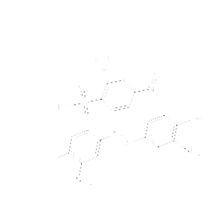 Cl.Cl.Nc1cc(/[As]=[As]/c2ccc(O)c(N)c2)ccc1O.O=[N+]([O-])c1ccc(S(=O)(=O)O)cc1